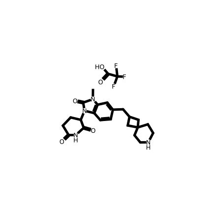 Cn1c(=O)n(C2CCC(=O)NC2=O)c2ccc(CC3CC4(CCNCC4)C3)cc21.O=C(O)C(F)(F)F